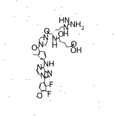 COc1ccc(-c2cnc3c(Nc4ccc(C(=O)N5CCN(C(=O)[C@H](CCCNC(=N)N)NC(=O)CCCC(=O)O)CC5)c(C)c4)nccn23)c(F)c1F